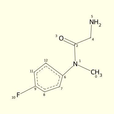 CN(C(=O)CN)c1ccc(F)cc1